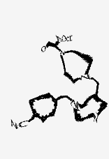 CCCCCCCCC(=O)N1CCN(Cc2cncn2Cc2ccc(C#N)cc2)CC1